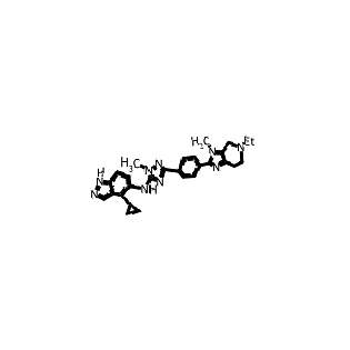 CCN1CCc2nc(-c3ccc(-c4nc(Nc5ccc6[nH]ncc6c5C5CC5)n(C)n4)cc3)n(C)c2C1